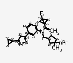 C=C(N(CC1CCC(C)(CCC)C1)c1cccc(C2=NN=C(C3CC3)C2)c1)C12CC1(F)C2